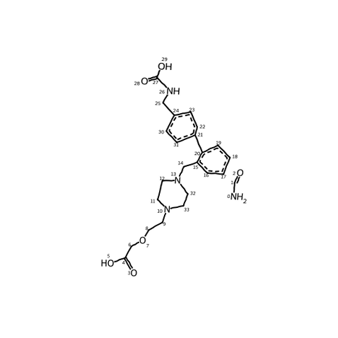 NC=O.O=C(O)COCCN1CCN(Cc2ccccc2-c2ccc(CNC(=O)O)cc2)CC1